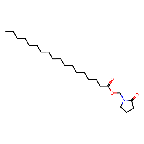 CCCCCCCCCCCCCCCCCC(=O)OCN1CCCC1=O